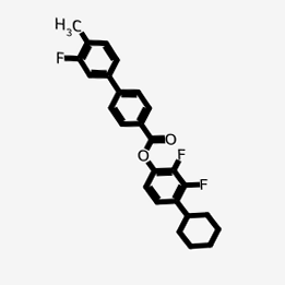 Cc1ccc(-c2ccc(C(=O)Oc3ccc(C4CCCCC4)c(F)c3F)cc2)cc1F